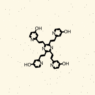 Oc1ccnc(C=Cc2nc(C=Cc3cc(O)ccn3)c(C=Cc3cc(O)ccn3)nc2C=Cc2cc(O)ccn2)c1